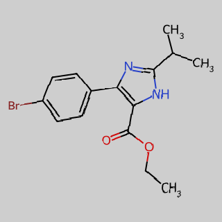 CCOC(=O)c1[nH]c(C(C)C)nc1-c1ccc(Br)cc1